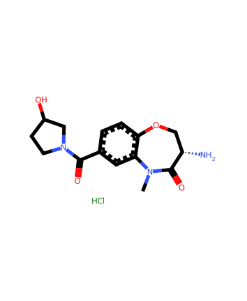 CN1C(=O)[C@@H](N)COc2ccc(C(=O)N3CCC(O)C3)cc21.Cl